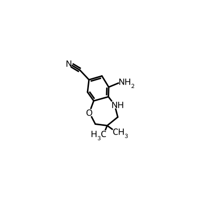 CC1(C)CNc2c(N)cc(C#N)cc2OC1